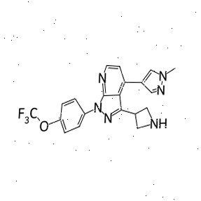 Cn1cc(-c2ccnc3c2c(C2CNC2)nn3-c2ccc(OC(F)(F)F)cc2)cn1